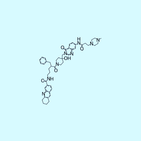 CN1CCN(CCC(=O)Nc2ccc3c(=O)n(CC4(O)CCN(C(=O)C(CCCNC(=O)c5ccc6cc7c(nc6c5)CCCC7)Cc5ccccc5)CC4)cnc3c2)CC1